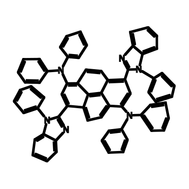 c1ccc(N(c2ccccc2)c2cc(-c3nc4ccccc4n3-c3ccccc3)c3ccc4c(N(c5ccccc5)c5ccccc5)cc(-c5nc6ccccc6n5-c5ccccc5)c5ccc2c3c54)cc1